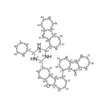 c1ccc(C2NC(c3ccc4oc5cccc(-c6cccc7c6sc6ccccc67)c5c4c3)NC(c3cccc4c3sc3ccccc34)N2)cc1